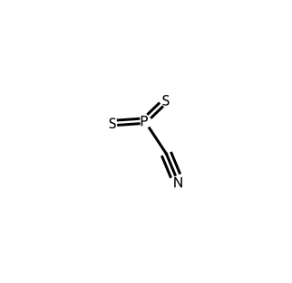 N#CP(=S)=S